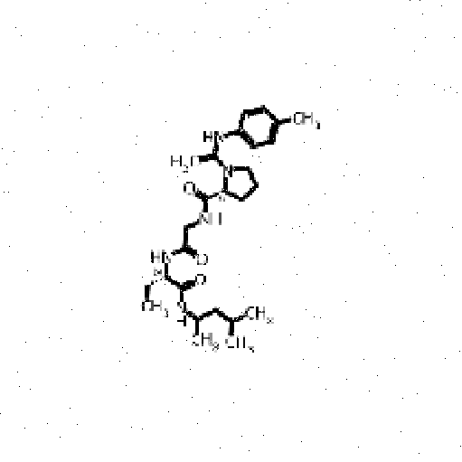 C=C(Nc1ccc(C)cc1)N1CCC[C@H]1C(=O)NCC(=O)N[C@@H](CC)C(=O)NC(C)CC(C)C